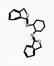 c1ccc2c(c1)CO/C2=N\C1CCCCC1/N=C1\OCc2ccccc21